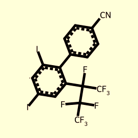 N#Cc1ccc(-c2c(I)[c]c(I)cc2C(F)(C(F)(F)F)C(F)(F)C(F)(F)F)cc1